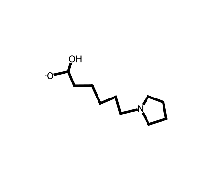 [O]C(O)CCCCCN1CCCC1